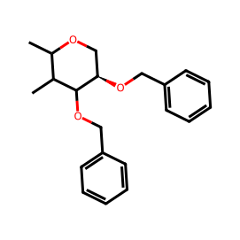 CC1OC[C@@H](OCc2ccccc2)C(OCc2ccccc2)C1C